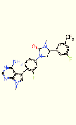 CN1C(=O)N(c2ccc(-c3cn(C)c4ncnc(N)c34)c(F)c2)CC1c1cc(F)cc(C(F)(F)F)c1